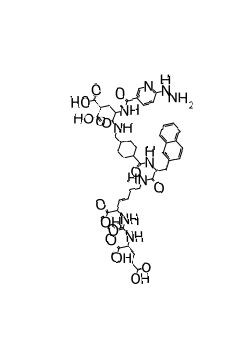 NNc1ccc(C(=O)NC(CC(C(=O)O)C(=O)O)C(=O)NCC2CCC(C(=O)NC(Cc3ccc4ccccc4c3)C(=O)NCCCCC(NC(=O)NC(CCC(=O)O)C(=O)O)C(=O)O)CC2)cn1